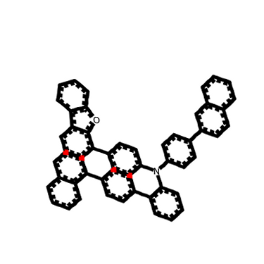 c1ccc(N(c2ccc(-c3ccc4ccccc4c3)cc2)c2ccc(-c3cccc4c3oc3ccccc34)cc2)c(-c2ccc(-c3cccc4ccccc34)cc2)c1